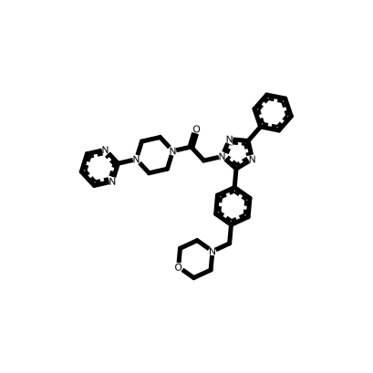 O=C(Cn1nc(-c2ccccc2)nc1-c1ccc(CN2CCOCC2)cc1)N1CCN(c2ncccn2)CC1